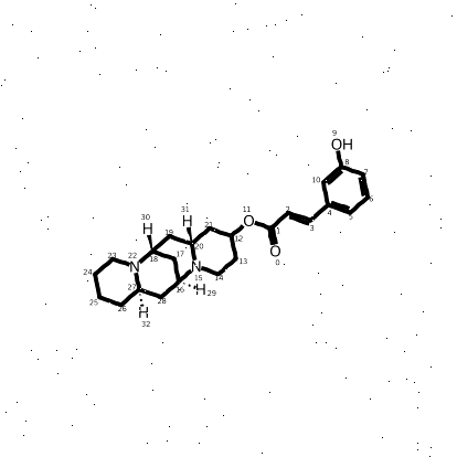 O=C(/C=C/c1cccc(O)c1)OC1CCN2[C@@H]3C[C@@H](C[C@@H]2C1)N1CCCC[C@@H]1C3